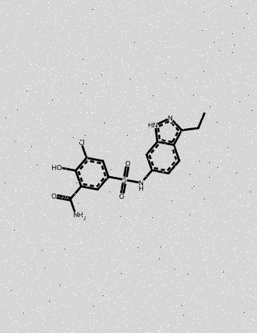 CCc1n[nH]c2cc(NS(=O)(=O)c3cc(Cl)c(O)c(C(N)=O)c3)ccc12